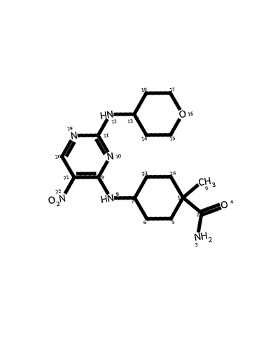 CC1(C(N)=O)CCC(Nc2nc(NC3CCOCC3)ncc2[N+](=O)[O-])CC1